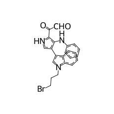 O=CC(=O)c1[nH]cc(-c2cn(CCCBr)c3ccccc23)c1Nc1ccccc1